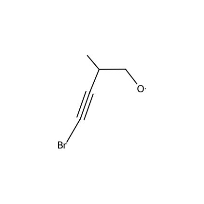 CC(C#CBr)C[O]